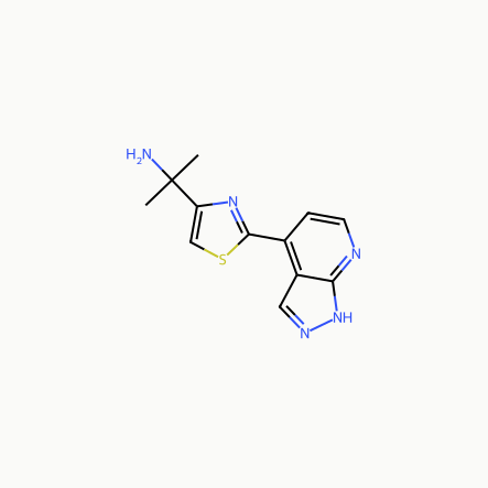 CC(C)(N)c1csc(-c2ccnc3[nH]ncc23)n1